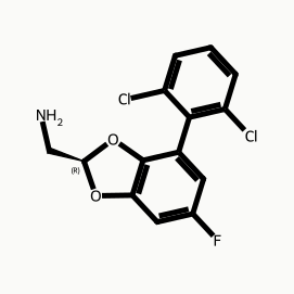 NC[C@@H]1Oc2cc(F)cc(-c3c(Cl)cccc3Cl)c2O1